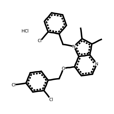 Cc1c(C)n(Cc2ccccc2Cl)c2c(OCc3ccc(Cl)cc3Cl)ccnc12.Cl